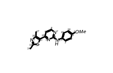 COc1ccc(Nc2nccc(-c3sc(C)nc3C)n2)cc1